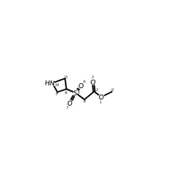 COC(=O)CS(=O)(=O)C1CNC1